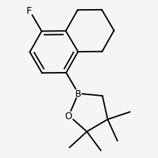 CC1(C)CB(c2ccc(F)c3c2CCCC3)OC1(C)C